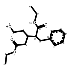 CCOC(=O)CC(CCO)C(Cc1ccccc1)C(=O)OCC